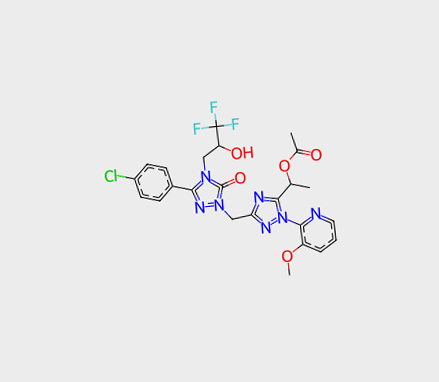 COc1cccnc1-n1nc(Cn2nc(-c3ccc(Cl)cc3)n(CC(O)C(F)(F)F)c2=O)nc1C(C)OC(C)=O